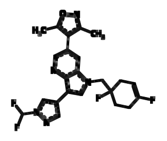 Cc1noc(C)c1-c1cnc2c(-c3cnn(C(F)F)c3)cn(CC3(F)CC=C(F)CC3)c2c1